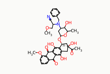 COCC(C#N)N(Cc1ccccc1)C1CC(O[C@H]2C[C@](O)(C(C)=O)Cc3c(O)c4c(c(O)c32)C(=O)c2c(OC)cccc2C4=O)OC(C)C1O